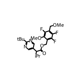 COCc1c(F)c(F)c(COC(=O)C(c2cnc(C(C)(C)C)nc2)C(C)C)c(OC)c1F